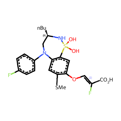 CCCC[C@@H]1CN(c2ccc(F)cc2)c2cc(SC)c(O/C=C(\F)C(=O)O)cc2S(O)(O)N1